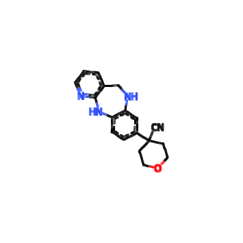 N#CC1(c2ccc3c(c2)NCc2cccnc2N3)CCOCC1